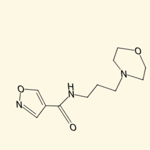 O=C(NCCCN1CCOCC1)c1cnoc1